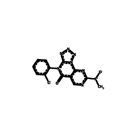 C[S+]([O-])c1ncc2c(=O)n(-c3ccccc3Cl)c3nnnn3c2n1